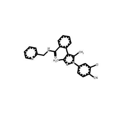 Cc1nn(-c2ccc(C#N)c(Cl)c2)c(C)c1-c1ccccc1C(=O)NCc1ccccn1